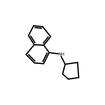 c1ccc2c(N[C]3CCCC3)cccc2c1